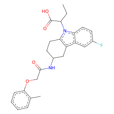 CCC(C(=O)O)n1c2c(c3cc(F)ccc31)CC(NC(=O)COc1ccccc1C)CC2